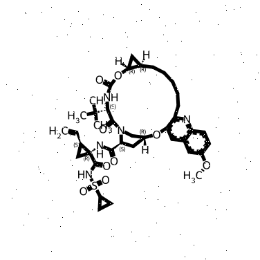 C=C[C@@H]1C[C@]1(NC(=O)[C@@H]1C[C@@H]2CN1C(=O)[C@H](C(C)(C)C)NC(=O)O[C@@H]1C[C@H]1CCCCCc1nc3ccc(OC)cc3cc1O2)C(=O)NS(=O)(=O)C1CC1